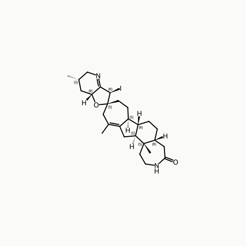 CC1=C2C[C@H]3[C@@H](CC[C@@H]4CC(=O)NCC[C@@]43C)[C@@H]2CC[C@@]2(C1)O[C@@H]1C[C@H](C)CN=C1[C@H]2I